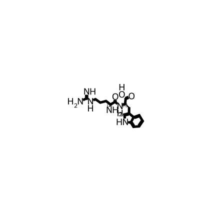 N=C(N)NCCC[C@H](N)C(=O)N[C@H](Cc1c[nH]c2ccccc12)C(=O)O